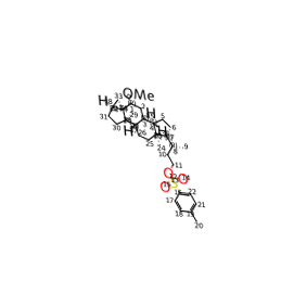 CO[C@@H]1C[C@H]2[C@@H]3CC[C@H]([C@H](C)CCOS(=O)(=O)c4ccc(C)cc4)[C@@]3(C)CC[C@@H]2[C@@]2(C)CC[C@H]3C[C@]312